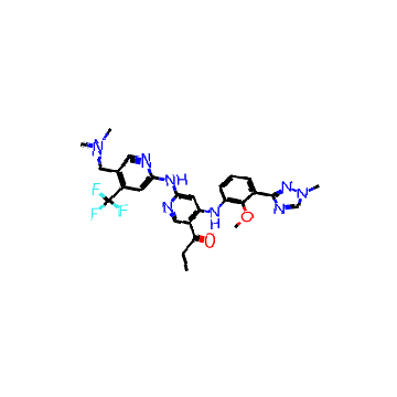 CCC(=O)c1cnc(Nc2cc(C(F)(F)F)c(CN(C)C)cn2)cc1Nc1cccc(-c2ncn(C)n2)c1OC